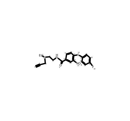 C#CCN(CC)CCNC(=O)c1ccc(Sc2ccc(F)cc2)c([N+](=O)[O-])c1